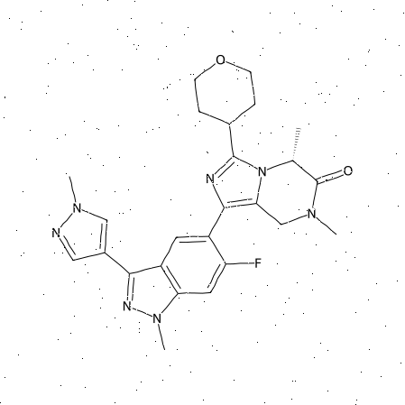 C[C@@H]1C(=O)N(C)Cc2c(-c3cc4c(-c5cnn(C)c5)nn(C)c4cc3F)nc(C3CCOCC3)n21